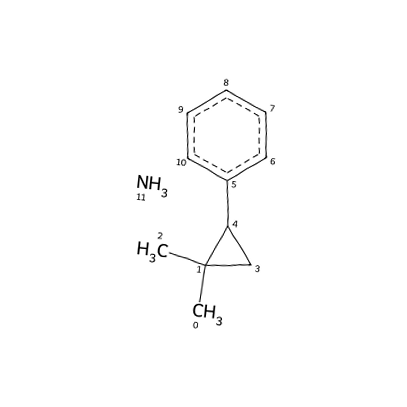 CC1(C)CC1c1ccccc1.N